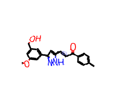 COc1cc(CO)cc(-c2cc(/C=C/C(=O)c3ccc(C)cc3)[nH]n2)c1